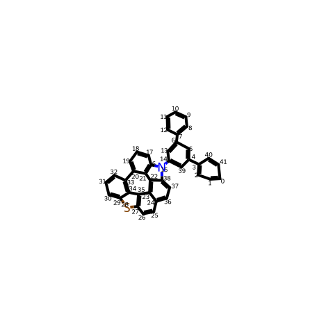 c1ccc(-c2cc(-c3ccccc3)cc(-n3c4cccc5c4c4c6c(ccc7sc8cccc-5c8c76)ccc43)c2)cc1